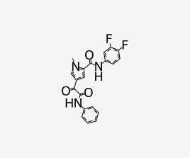 Cn1cc(C(=O)C(=O)Nc2ccccc2)cc1C(=O)Nc1ccc(F)c(F)c1